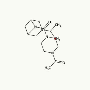 CC(=O)N1CCN(C(=O)N2C3CC2CN(C(C)C)C3)CC1